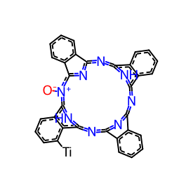 [O-][n+]1c2nc(nc3[nH]c(nc4nc(nc5[nH]c1c1ccc[c]([Ti])c51)-c1ccccc1-4)c1ccccc31)-c1ccccc1-2